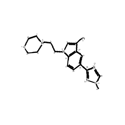 CC(C)c1cn(CCN2CCOCC2)c2ccc(-c3ncn(C)n3)cc12